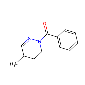 CC1C=NN(C(=O)c2ccccc2)CC1